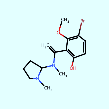 C=C(c1c(O)ccc(Br)c1OC)N(C)C1CCCN1C